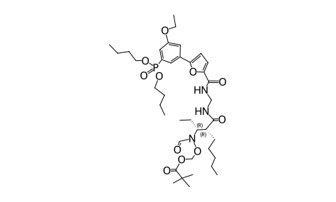 CCCCC[C@@H](C(=O)NCNC(=O)c1ccc(-c2cc(OCC)cc(P(=O)(OCCCC)OCCCC)c2)o1)[C@@H](CC)N(C=O)OCOC(=O)C(C)(C)C